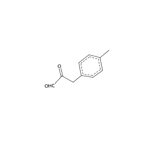 Cc1ccc(CC(=O)C=O)cc1